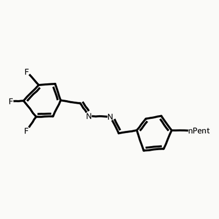 CCCCCc1ccc(C=NN=Cc2cc(F)c(F)c(F)c2)cc1